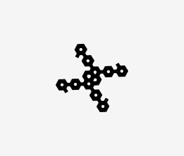 Cc1ccccc1-c1ccc(-c2cc(-c3ccc(-c4ccccc4C)cc3)c3ccc4c(-c5ccc(-c6ccccc6C)cc5)cc(-c5ccc(-c6ccccc6C)cc5)c5ccc2c3c54)cc1